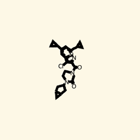 O=C(c1nn2c(C3CC3)cc(C3CC3)cc2c1Cl)N1CCN(C2CC3CC3C2)C(=O)C1